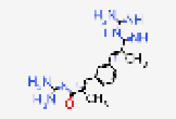 C/C(=C\c1cccc(/C=C(\C)C(=O)N=C(N)N)c1)C(=N)NC(=N)N